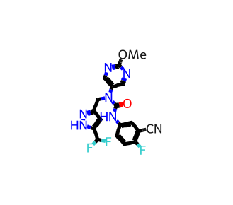 COc1ncc(N(Cc2cc(C(F)F)[nH]n2)C(=O)Nc2ccc(F)c(C#N)c2)cn1